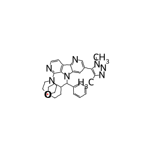 Cc1nnn(C)c1-c1cnc2c3ccnc(N4CCOCC4)c3n(C(c3ccccc3)C3CCOCC3)c2c1